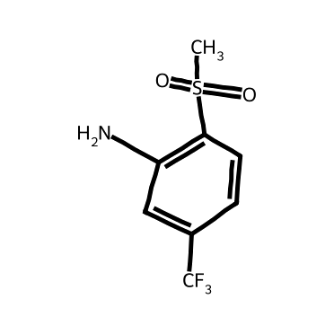 CS(=O)(=O)c1ccc(C(F)(F)F)cc1N